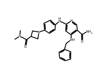 CN(C)C(=O)C1CN(c2ccc(Nc3cc(NCc4ccccc4)c(C(N)=O)cn3)cc2)C1